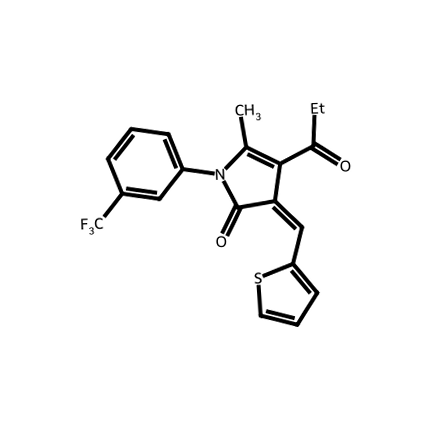 CCC(=O)C1=C(C)N(c2cccc(C(F)(F)F)c2)C(=O)/C1=C\c1cccs1